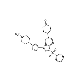 CN1CCC(c2nc(-c3cn(S(=O)(=O)c4ccccc4)c4ncc(C5CCC(=O)CC5)cc34)cs2)CC1